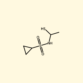 CC(S)NS(=O)(=O)C1CC1